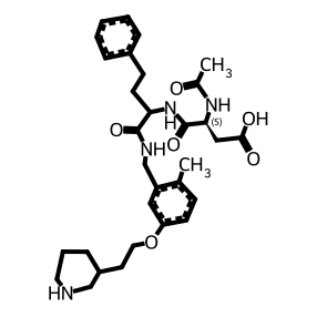 CC(=O)N[C@@H](CC(=O)O)C(=O)NC(CCc1ccccc1)C(=O)NCc1cc(OCCC2CCCNC2)ccc1C